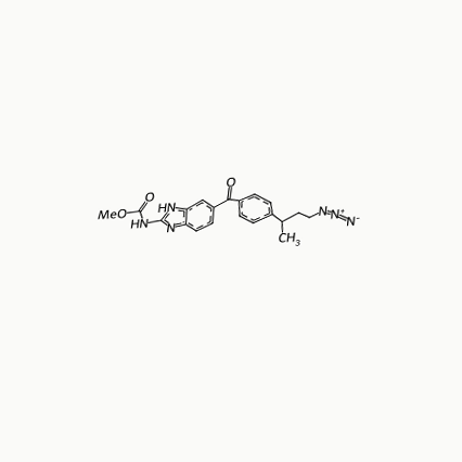 COC(=O)Nc1nc2ccc(C(=O)c3ccc(C(C)CCN=[N+]=[N-])cc3)cc2[nH]1